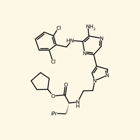 CC(C)C[C@@H](NCCn1cc(-c2cnc(N)c(NCc3c(Cl)cccc3Cl)n2)cn1)C(=O)OC1CCCC1